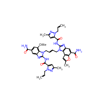 C=CCn1nc(C)cc1C(=O)Nc1nc2cc(C(N)=O)cc(OC)c2n1C/C=C/Cn1c(NC(=O)c2cc(C)nn2CC=C)nc2cc(C(N)=O)c3oc(C)cc3c21